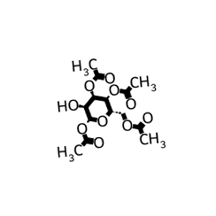 CC(=O)OC[C@@H]1O[C@H](OC(C)=O)[C@@H](O)[C@@H](OC(C)=O)[C@@H]1OC(C)=O